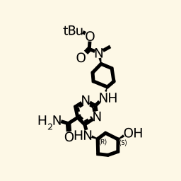 CN(C(=O)OC(C)(C)C)[C@H]1CC[C@H](Nc2ncc(C(N)=O)c(N[C@@H]3CCC[C@H](O)C3)n2)CC1